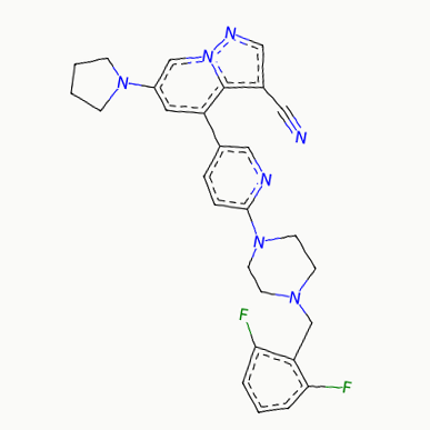 N#Cc1cnn2cc(N3CCCC3)cc(-c3ccc(N4CCN(Cc5c(F)cccc5F)CC4)nc3)c12